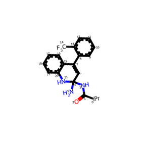 CC(C)C(=O)NC1(N)C=C(c2ccccc2C(F)(F)F)c2ccc[c]c2N1